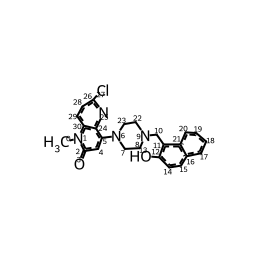 Cn1c(=O)cc(N2CCN(Cc3c(O)ccc4ccccc34)CC2)c2nc(Cl)ccc21